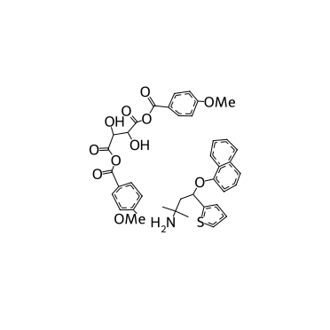 CC(C)(N)CC(Oc1cccc2ccccc12)c1cccs1.COc1ccc(C(=O)OC(=O)C(O)C(O)C(=O)OC(=O)c2ccc(OC)cc2)cc1